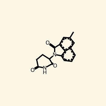 Cc1cc2c3c(cccc3c1)N(C1CCC(=O)NC1=O)C2=O